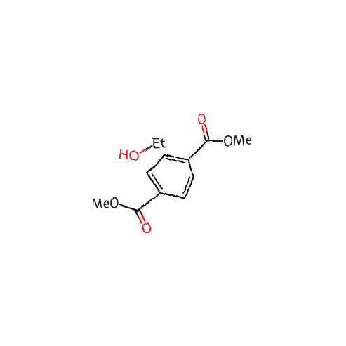 CCO.COC(=O)c1ccc(C(=O)OC)cc1